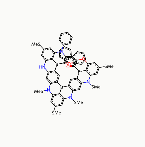 CSc1cc2c3c(c1)N(SC)c1cc4c(cc1B3c1oc3ccccc3c1O2)B1c2cc3c(cc2N(SC)c2cc(SC)cc(c21)N4SC)Nc1cc(SC)cc2c1B3c1oc3ccccc3c1N2c1ccccc1